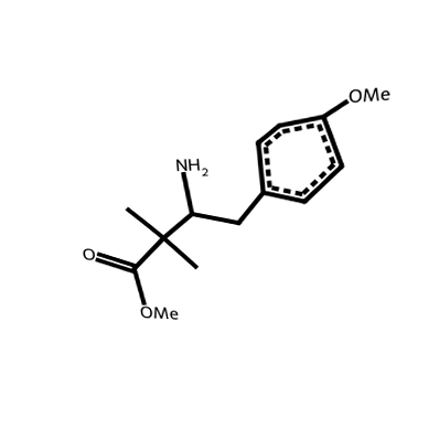 COC(=O)C(C)(C)C(N)Cc1ccc(OC)cc1